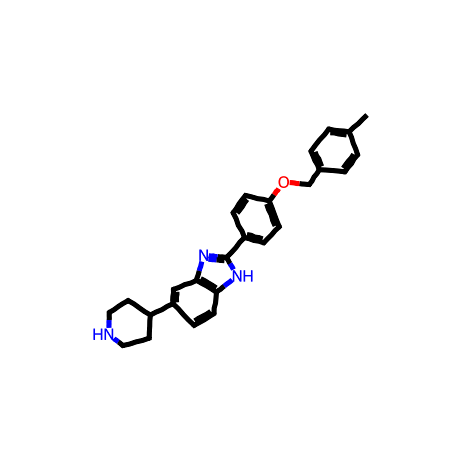 Cc1ccc(COc2ccc(-c3nc4cc(C5CCNCC5)ccc4[nH]3)cc2)cc1